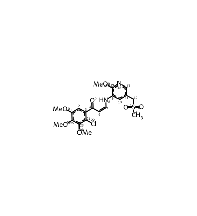 COc1cc(C(=O)/C=C\Nc2cc(CS(C)(=O)=O)cnc2OC)c(Cl)c(OC)c1OC